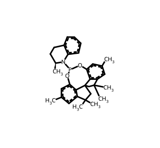 Cc1cc2c3c(c1)C(C)(C)CC31CC(C)(C)c3cc(C)cc(c31)OP(N1c3ccccc3CC[C@@H]1C)O2